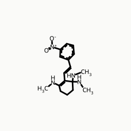 CNC1=C(C=Cc2cccc([N+](=O)[O-])c2)C(NC)(NC)CCC1